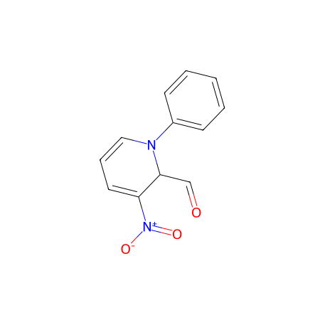 O=CC1C([N+](=O)[O-])=CC=CN1c1ccccc1